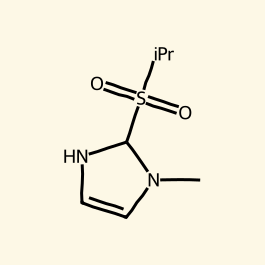 CC(C)S(=O)(=O)C1NC=CN1C